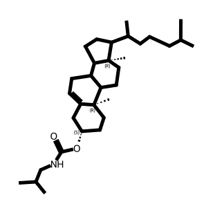 CC(C)CCCC(C)C1CCC2C3CC=C4C[C@@H](OC(=O)NCC(C)C)CC[C@]4(C)C3CC[C@]12C